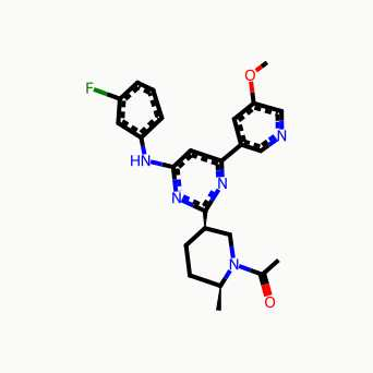 COc1cncc(-c2cc(Nc3cccc(F)c3)nc([C@@H]3CC[C@H](C)N(C(C)=O)C3)n2)c1